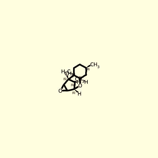 C[C@@H]1CC[C@@]2(C)[C@@H](C1)O[C@@H]1C3OC3[C@@]2(C)[C@@H]1C